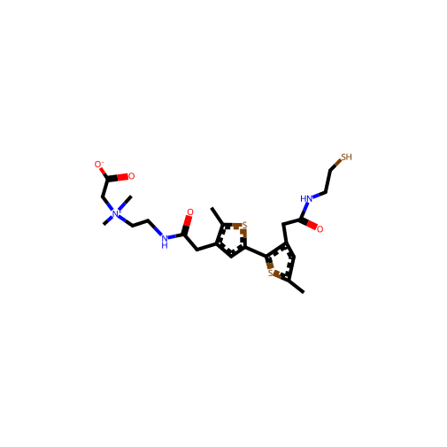 Cc1cc(CC(=O)NCCS)c(-c2cc(CC(=O)NCC[N+](C)(C)CC(=O)[O-])c(C)s2)s1